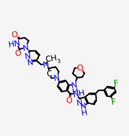 CN(Cc1ccc(N2CCC(=O)NC2=O)nn1)C1CCN(c2ccc(C(=O)Nc3n[nH]c4ccc(Cc5cc(F)cc(F)c5)cc34)c(NC3CCOCC3)c2)CC1